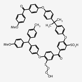 COc1ccc(C(=O)c2ccc(Oc3ccc(C(C)(C)c4ccc(Oc5ccc(C(=O)c6ccc(Oc7ccc(C(c8ccc(C)cc8)c8ccc(OC)cc8)cc7)c(SOOO)c6)cc5S(=O)(=O)O)cc4)cc3)cc2)cc1